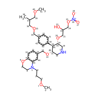 COCCCN1CCOc2ccc(CO[C@H]3CNC[C@@H](OCC(O)CO[N+](=O)[O-])[C@@H]3c3ccc(COCC(C)COC)cc3)cc21